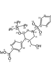 COC(=O)c1ccc(C2C(CO)CN(S(=O)(=O)c3ccc(C)cc3)CC2O[Si](C(C)C)(C(C)C)C(C)C)cc1